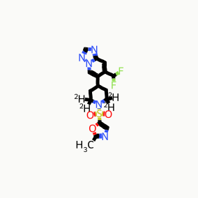 [2H]C1([2H])CC(c2cn3ncnc3cc2C(F)F)CC([2H])([2H])N1S(=O)(=O)c1cnc(C)o1